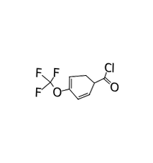 O=C(Cl)C1C=CC(OC(F)(F)F)=CC1